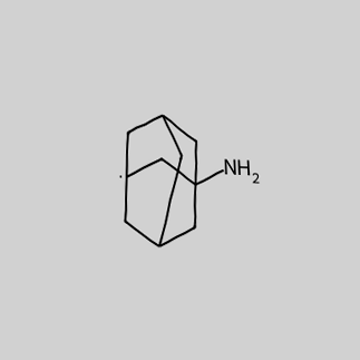 NC12C[C]3CC(CC(C3)C1)C2